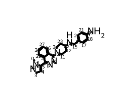 Cn1nccc1-c1nnc(N2CCC(NCc3ccc(N)cc3)CC2)c2ccccc12